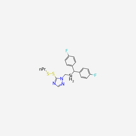 CCCSSc1ncnn1C[SiH2]C(c1ccc(F)cc1)c1ccc(F)cc1